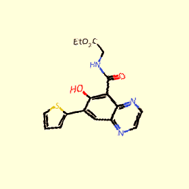 CCOC(=O)CNC(=O)c1c(O)c(-c2cccs2)cc2nccnc12